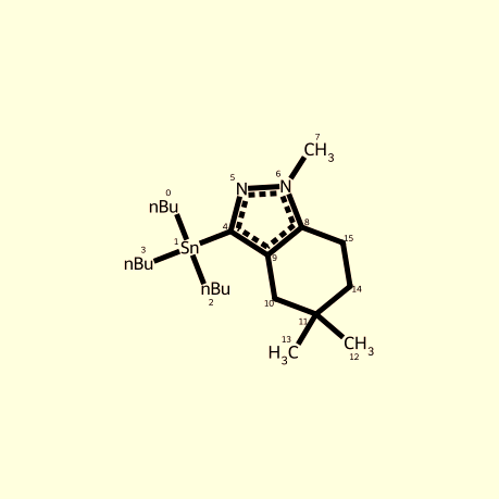 CCC[CH2][Sn]([CH2]CCC)([CH2]CCC)[c]1nn(C)c2c1CC(C)(C)CC2